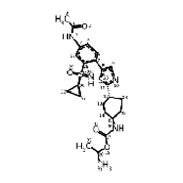 CC(=O)Nc1ccc(-c2cnc([C@H]3CC[C@H](NC(=O)OC(C)C)CC3)s2)c(S(=N)(=O)C2CC2)c1